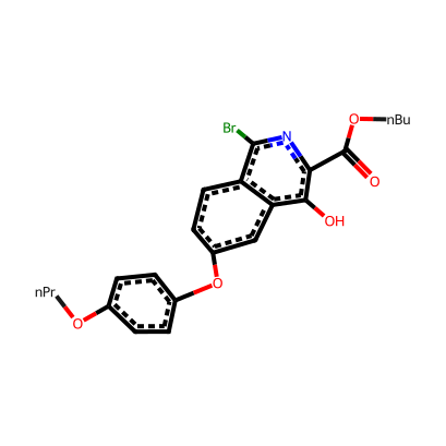 CCCCOC(=O)c1nc(Br)c2ccc(Oc3ccc(OCCC)cc3)cc2c1O